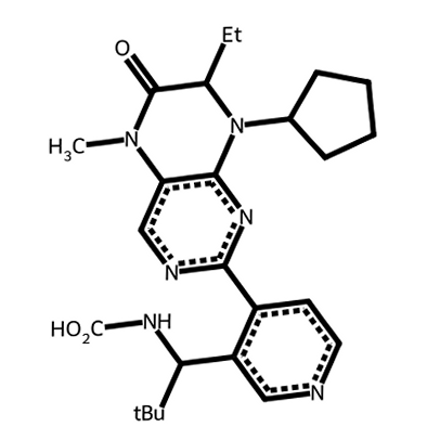 CCC1C(=O)N(C)c2cnc(-c3ccncc3C(NC(=O)O)C(C)(C)C)nc2N1C1CCCC1